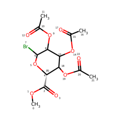 COC(=O)[C@@H]1OC(Br)C(OC(C)=O)C(OC(C)=O)C1OC(C)=O